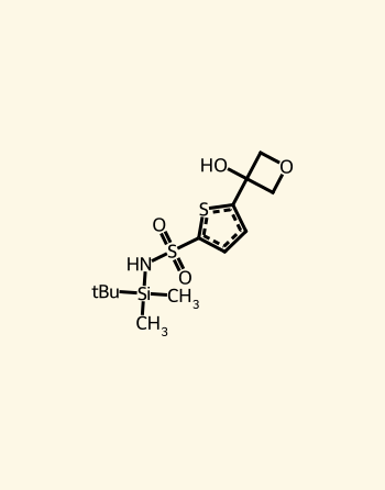 CC(C)(C)[Si](C)(C)NS(=O)(=O)c1ccc(C2(O)COC2)s1